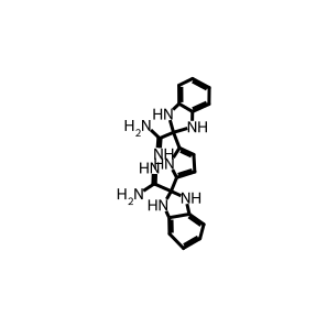 N=C(N)C1(c2ccc(C3(C(=N)N)Nc4ccccc4N3)[nH]2)Nc2ccccc2N1